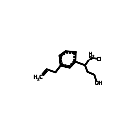 C=CCc1cccc(C(CCO)[SiH2]Cl)c1